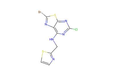 Clc1nc(NCc2nccs2)c2nc(Br)sc2n1